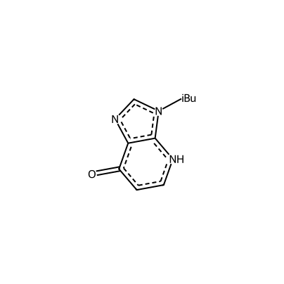 CCC(C)n1cnc2c(=O)cc[nH]c21